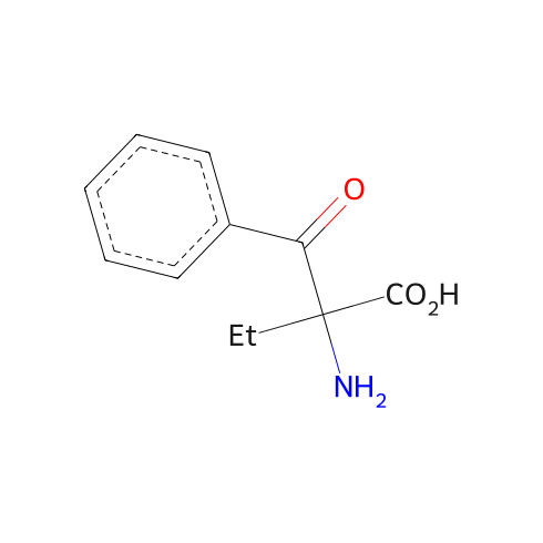 [CH2]CC(N)(C(=O)O)C(=O)c1ccccc1